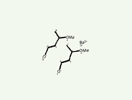 COC(C)CC[O-].COC(C)CC[O-].[Ba+2]